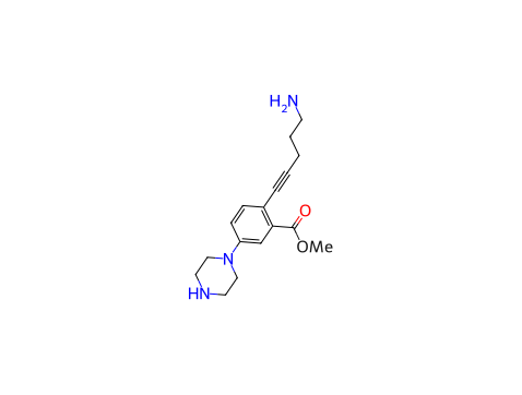 COC(=O)c1cc(N2CCNCC2)ccc1C#CCCCN